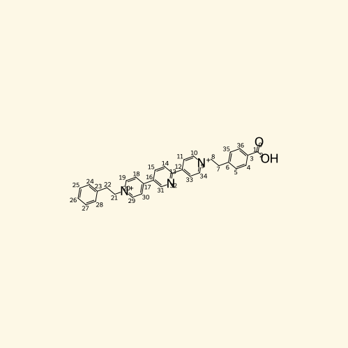 O=C(O)c1ccc(CC[n+]2ccc(-c3ccc(-c4cc[n+](CCc5ccccc5)cc4)cn3)cc2)cc1